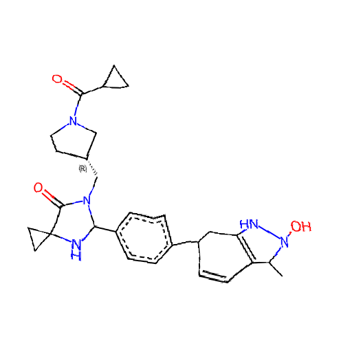 CC1C2=C(CC(c3ccc(C4NC5(CC5)C(=O)N4C[C@@H]4CCN(C(=O)C5CC5)C4)cc3)C=C2)NN1O